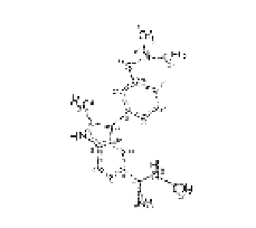 Cc1[nH]c2ccc(C(=N)NO)cc2c1-c1cccc(SN(C)C)c1